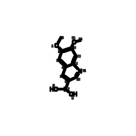 COc1cc2cc(B(O)O)cnc2cc1OC